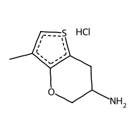 Cc1csc2c1OCC(N)C2.Cl